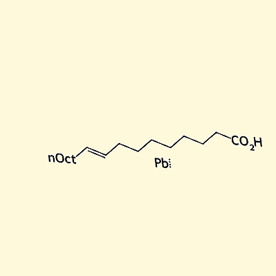 CCCCCCCCC=CCCCCCCCC(=O)O.[Pb]